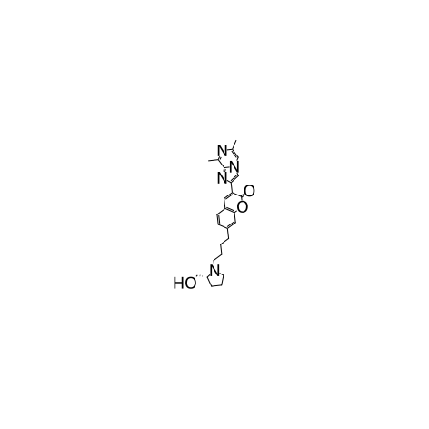 Cc1cn2cc(-c3cc4ccc(CCCCN5CCC[C@@H]5CO)cc4oc3=O)nc2c(C)n1